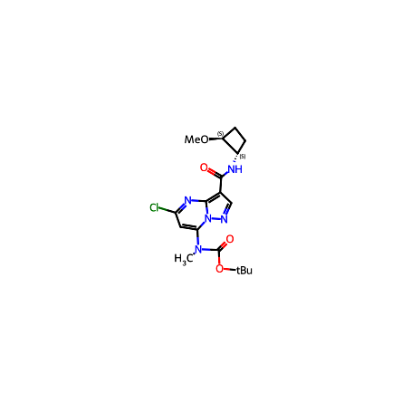 CO[C@H]1CC[C@@H]1NC(=O)c1cnn2c(N(C)C(=O)OC(C)(C)C)cc(Cl)nc12